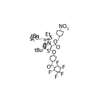 CCS[C@@H]1[C@@H](CCO[Si](C)(C)C(C)(C)C)C(=O)N1C(C(=O)OCc1ccc([N+](=O)[O-])cc1)=C(Oc1ccc(C(=O)c2c(F)c(F)c(F)c(F)c2F)cc1)SC(=O)C(C)(C)C